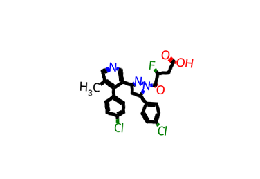 Cc1cncc(C2=NN(C(=O)C(F)CC(=O)O)C(c3ccc(Cl)cc3)C2)c1-c1ccc(Cl)cc1